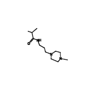 CC(C)C(=O)NCCCN1CCN(C)CC1